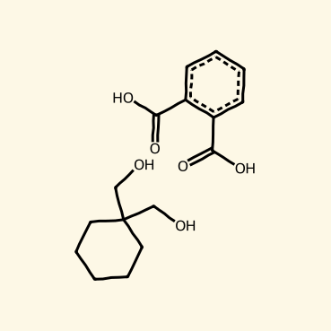 O=C(O)c1ccccc1C(=O)O.OCC1(CO)CCCCC1